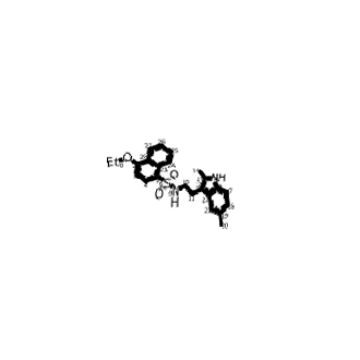 CCOc1ccc(S(=O)(=O)NCCc2c(C)[nH]c3ccc(C)cc23)c2ccccc12